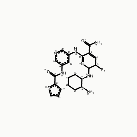 NC(=O)C1=CC(F)C(N[C@@H]2CCCC[C@@H]2N)N=C1Nc1cncc(NC(=O)c2cccs2)c1